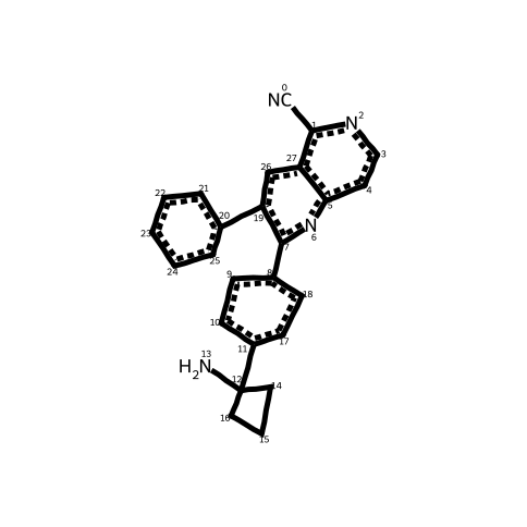 N#Cc1nccc2nc(-c3ccc(C4(N)CCC4)cc3)c(-c3ccccc3)cc12